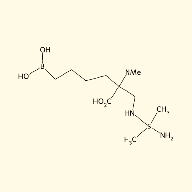 CNC(CCCCB(O)O)(CNS(C)(C)N)C(=O)O